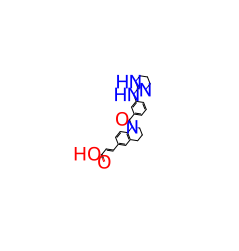 O=C(O)C=Cc1ccc2c(c1)CCCN2C(=O)c1cccc(NC2=NCCCN2)c1